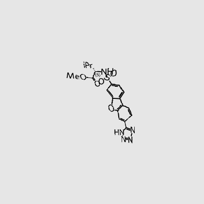 COC(=O)[C@@H](NS(=O)(=O)c1ccc2c(c1)oc1cc(-c3nnn[nH]3)ccc12)C(C)C